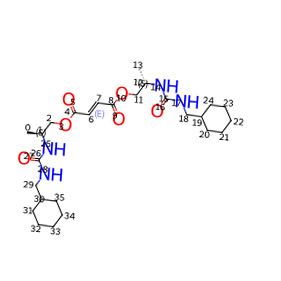 C[C@@H](COC(=O)/C=C/C(=O)OC[C@H](C)NC(=O)NCC1CCCCC1)NC(=O)NCC1CCCCC1